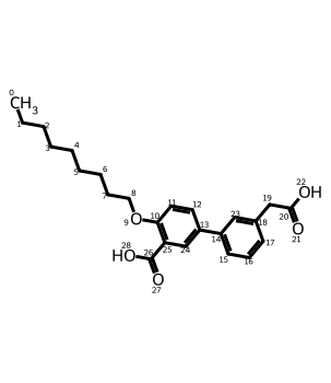 CCCCCCCCCOc1ccc(-c2cccc(CC(=O)O)c2)cc1C(=O)O